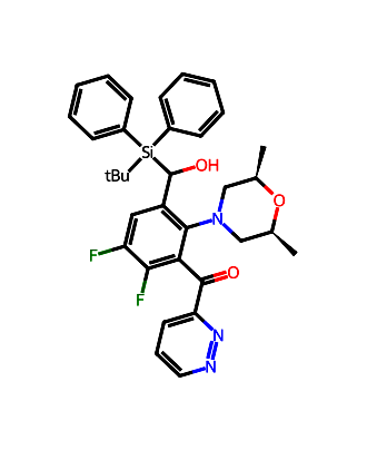 C[C@@H]1CN(c2c(C(O)[Si](c3ccccc3)(c3ccccc3)C(C)(C)C)cc(F)c(F)c2C(=O)c2cccnn2)C[C@H](C)O1